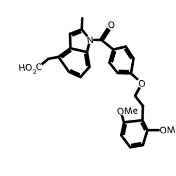 COc1cccc(OC)c1CCOc1ccc(C(=O)n2c(C)cc3c(CC(=O)O)cccc32)cc1